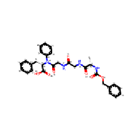 C[C@H](NC(=O)OCc1ccccc1)C(=O)NCC(=O)NCC(=O)N(c1ccccc1)[C@@H](Cc1ccccc1)C(=O)O